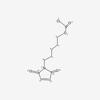 O=C(Cl)OCCCCCN1C(=O)C=CC1=O